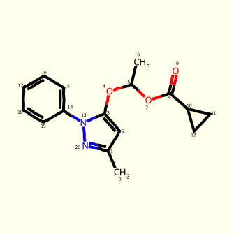 Cc1cc(OC(C)OC(=O)C2CC2)n(-c2ccccc2)n1